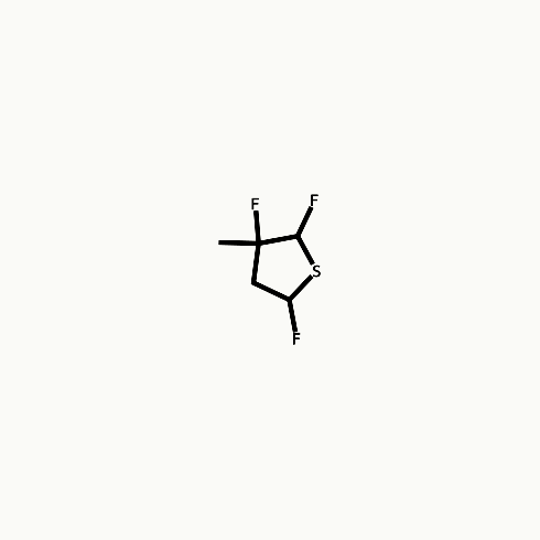 CC1(F)CC(F)SC1F